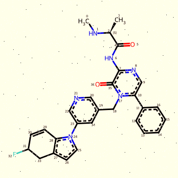 CN[C@@H](C)C(=O)Nc1ncc(-c2ccccc2)n(Cc2cncc(-n3ccc4c3C=CC(F)C4)c2)c1=O